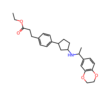 CCOC(=O)CCc1ccc(C2CCC(NC(C)c3ccc4c(c3)OCCO4)C2)cc1